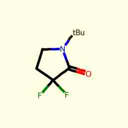 CC(C)(C)N1CCC(F)(F)C1=O